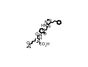 CN(C)C(=O)/C=C/CC[C@@H](CN(C)C(=O)O)C(=O)Nc1cccn(Cc2nc3c(CCc4ccccc4)ncnc3[nH]2)c1=O